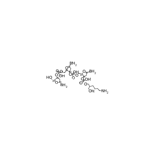 B[C@H]1C[C@@H](OP(=O)(O)OC[C@H]2O[C@@H](B)C[C@H]2OP(=O)(O)OC[C@H]2O[C@@H](B)C[C@H]2OP(=O)(O)OCC(CO)CCCCN)[C@@H](CO)O1